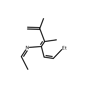 C=C(C)/C(C)=C(/C=C\CC)\N=C/C